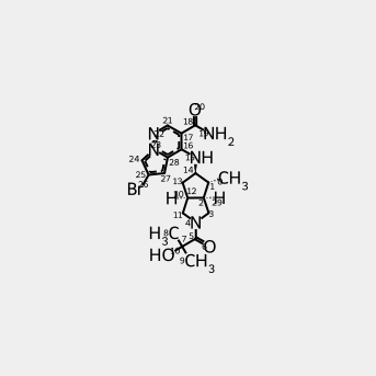 C[C@@H]1[C@H]2CN(C(=O)C(C)(C)O)C[C@H]2C[C@H]1Nc1c(C(N)=O)cnn2cc(Br)cc12